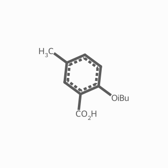 Cc1ccc(OCC(C)C)c(C(=O)O)c1